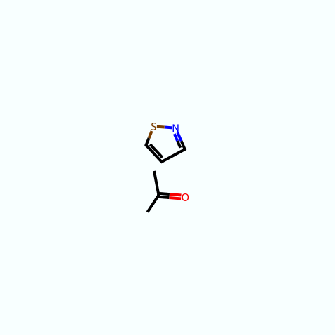 CC(C)=O.c1cnsc1